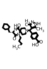 CCCCN1C(=O)[C@H](CC2CCCCC2)NC(=O)C12CCN(C(c1ccc(C(=O)O)cc1)c1c(C)n[nH]c1C)CC2